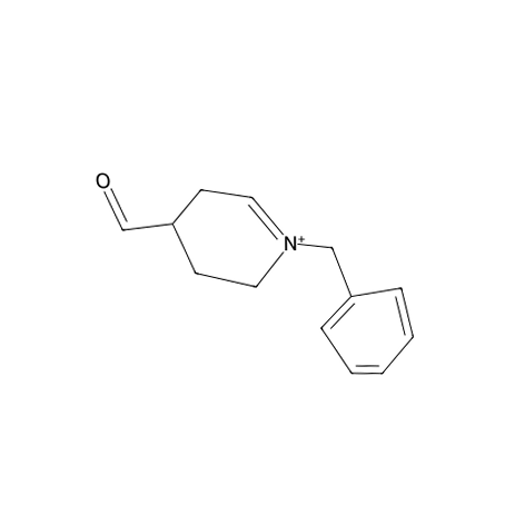 O=CC1CC=[N+](Cc2ccccc2)CC1